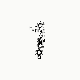 Cc1ccc(F)cc1NC(=O)N1CC(S(=O)(=O)N2CCC(c3ccc(Cl)cc3)CC2)C1